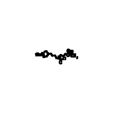 CC(C)(C)N1CCC(CCCCN2CC(COS(C)(=O)=O)OC2=O)CC1